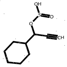 C#CC(OS(=O)O)C1CCCCC1